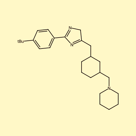 CC(C)(C)c1ccc(C2=NCC(CC3CCCC(CN4CCCCC4)C3)=N2)cc1